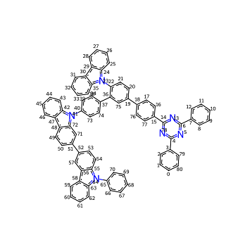 c1ccc(-c2nc(-c3ccccc3)nc(-c3ccc(-c4ccc(-n5c6ccccc6c6ccccc65)c(-c5ccc(-n6c7ccccc7c7ccc(-c8ccc9c(c8)c8ccccc8n9-c8ccccc8)cc76)cc5)c4)cc3)n2)cc1